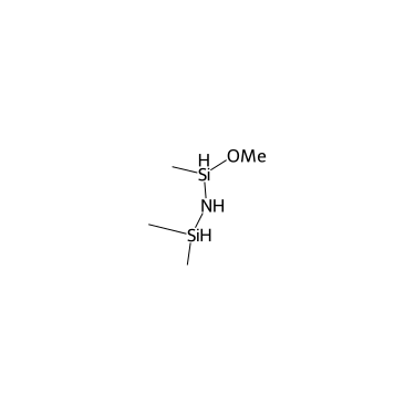 CO[SiH](C)N[SiH](C)C